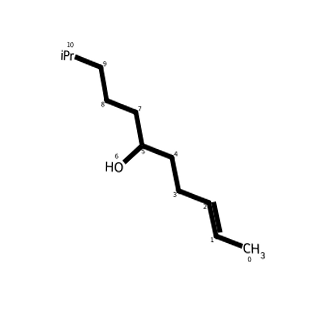 CC=CCCC(O)CCCC(C)C